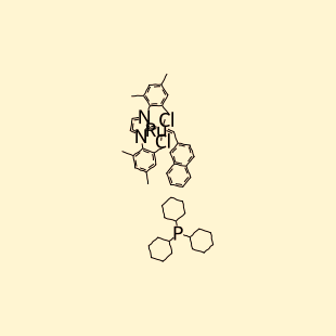 C1CCC(P(C2CCCCC2)C2CCCCC2)CC1.Cc1cc(C)c(-n2ccn(-c3c(C)cc(C)cc3C)[c]2=[Ru]([Cl])([Cl])=[CH]c2ccc3ccccc3c2)c(C)c1